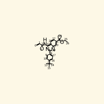 C=CC(=O)Nc1nc(-c2ccc(C(C)(C)C)cc2)nc2cc(C(=O)OCC)ccc12